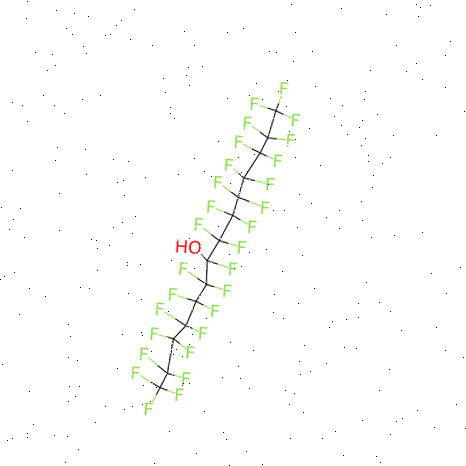 OC(F)(C(F)(F)C(F)(F)C(F)(F)C(F)(F)C(F)(F)C(F)(F)F)C(F)(F)C(F)(F)C(F)(F)C(F)(F)C(F)(F)C(F)(F)C(F)(F)F